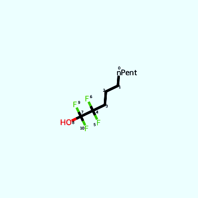 CCCCCCCCC(F)(F)C(O)(F)F